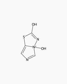 OC1=N[N+]2(O)C=NC=C2S1